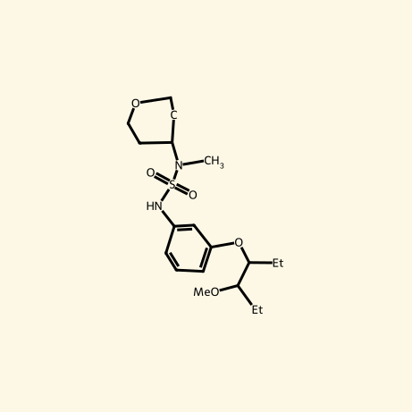 CCC(OC)C(CC)Oc1cccc(NS(=O)(=O)N(C)C2CCOCC2)c1